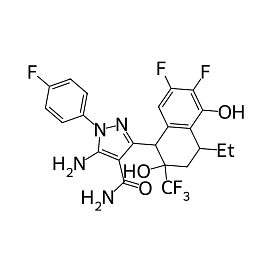 CCC1CC(O)(C(F)(F)F)C(c2nn(-c3ccc(F)cc3)c(N)c2C(N)=O)c2cc(F)c(F)c(O)c21